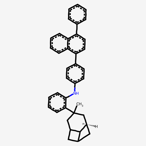 CC1(c2ccccc2Nc2ccc(-c3ccc(-c4ccccc4)c4ccccc34)cc2)CC2CC3C[C@H](C1)C32